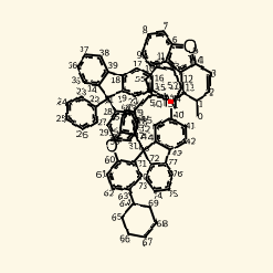 CC1C=Cc2oc3ccccc3c2C1N(c1ccc2c(c1)C(c1ccccc1)(c1ccccc1)c1ccccc1-2)c1ccc2c(c1)C1(c3cc(C4CCCCC4)ccc3Oc3ccc(C4CCCCC4)cc31)c1ccccc1-2